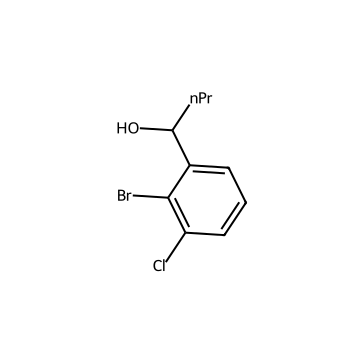 CCCC(O)c1cccc(Cl)c1Br